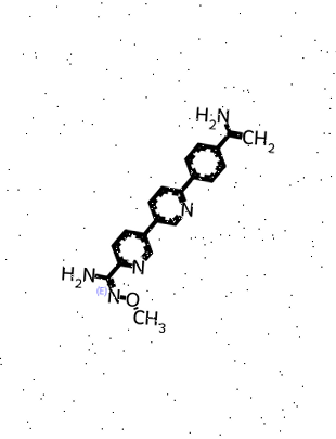 C=C(N)c1ccc(-c2ccc(-c3ccc(/C(N)=N\OC)nc3)cn2)cc1